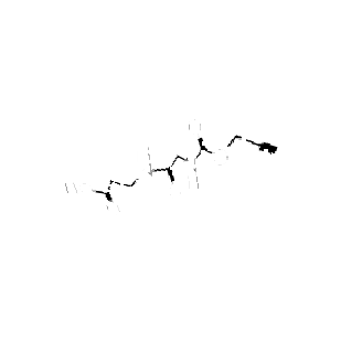 C#CCOC(=O)NCC(=O)NCCC(=O)O